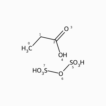 CCC(=O)O.O=S(=O)(O)OS(=O)(=O)O